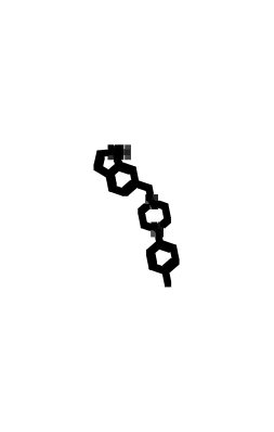 Cc1ccc(N2CCN(Cc3ccc4cc[nH]c4c3)CC2)cc1